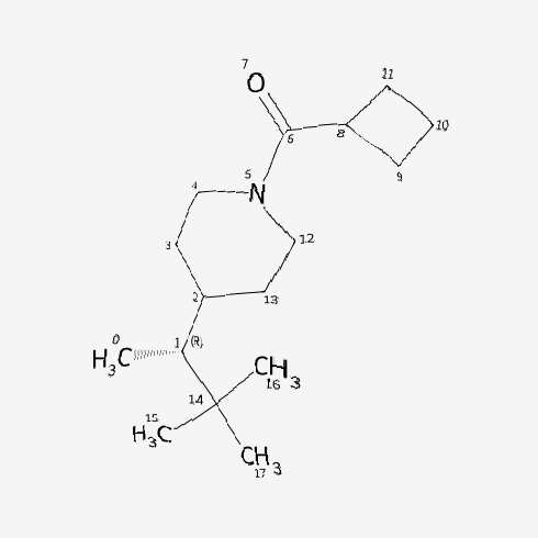 C[C@H](C1CCN(C(=O)C2CCC2)CC1)C(C)(C)C